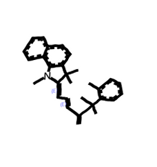 C=C(/C=C/C=C1/N(C)c2c(ccc3ccccc23)C1(C)C)C(C)(C)c1ccccc1C